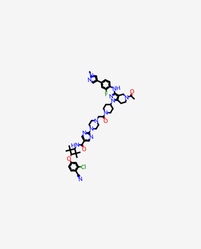 CC(=O)N1CCc2c(c(Nc3ccc(-c4cnn(C)c4)cc3F)nn2C2CCN(C(=O)CN3CCN(c4ncc(C(=O)NC5C(C)(C)C(Oc6ccc(C#N)c(Cl)c6)C5(C)C)cn4)CC3)CC2)C1